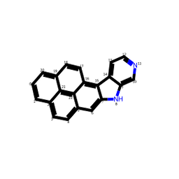 c1cc2ccc3cc4[nH]c5cnccc5c4c4ccc(c1)c2c34